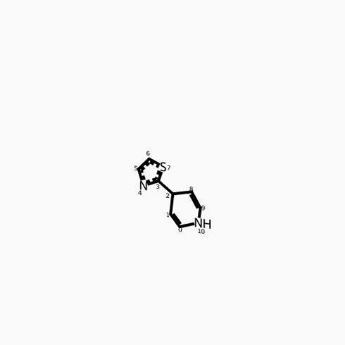 C1=CC(c2nccs2)C=CN1